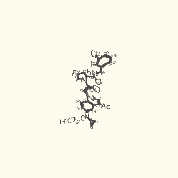 CC(=O)c1cn(CC(=O)N2C[C@H](F)C[C@H]2C(=O)NCc2cccc(Cl)c2F)c2ccc(N(C(=O)O)C3CC3)cc12